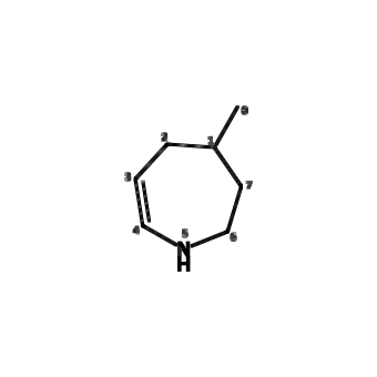 CC1CC=CNCC1